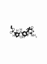 CCOC(=O)[C@H]1[C@@H]2C[C@@H](O)C(Nc3ccc(F)c([C@@]4(C)N=C(N)N(C)C(=O)C4(C)C)c3)[C@@H]21